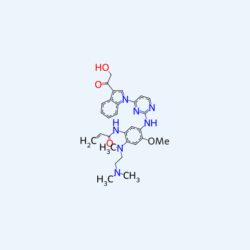 C=CC(=O)Nc1cc(Nc2nccc(-n3cc(C(=O)CO)c4ccccc43)n2)c(OC)cc1N(C)CCN(C)C